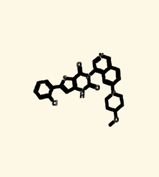 COC1CCN(c2ccc3cncc(-n4c(=O)[nH]c5cc(-c6ccccc6Cl)sc5c4=O)c3c2)CC1